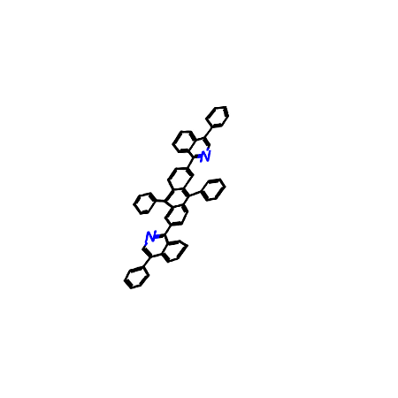 c1ccc(-c2cnc(-c3ccc4c(-c5ccccc5)c5cc(-c6ncc(-c7ccccc7)c7ccccc67)ccc5c(-c5ccccc5)c4c3)c3ccccc23)cc1